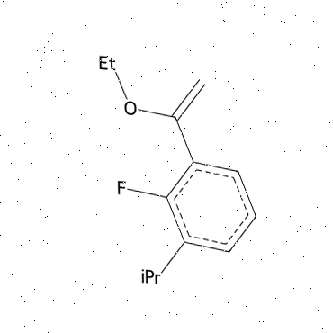 C=C(OCC)c1cccc(C(C)C)c1F